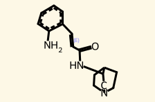 Nc1ccccc1/C=C/C(=O)NC1CN2CCC1CC2